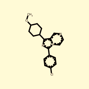 COC1CCC(c2nc(-c3ccc(Cl)cc3)n3ccncc23)CC1